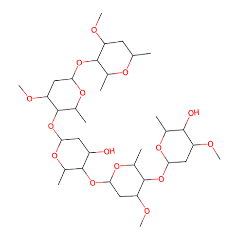 COC1CC(OC2C(C)OC(OC3C(O)CC(OC4C(C)OC(OC5C(C)OC(C)CC5OC)CC4OC)OC3C)CC2OC)OC(C)C1O